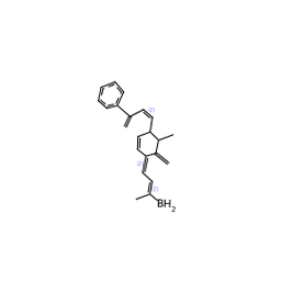 B/C(C)=C/C=C1/C=CC(/C=C\C(=C)c2ccccc2)C(C)C1=C